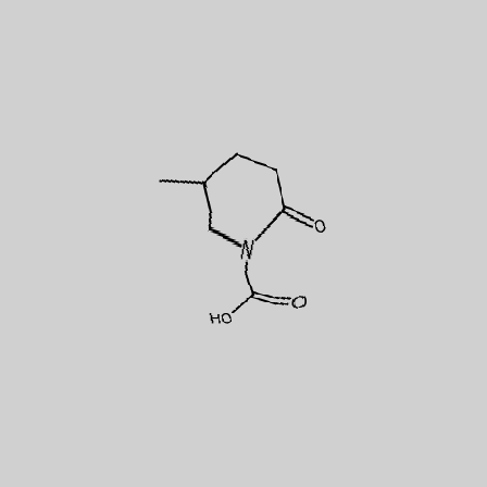 CC1CCC(=O)N(C(=O)O)C1